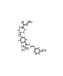 CCS(=O)(=O)N(C/C=C/c1cccc(C#N)c1)c1ccc(OC2CCN(C(=O)OC(C)(C)C)CC2)cc1